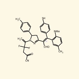 C=C(N1N=C(/C(C=O)=C(\c2ccc(S)cc2)c2cc(C)ccc2NC)CC1c1ccc(C)cc1)C(F)(F)CC(=O)C#N